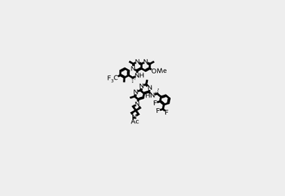 CC(=O)N1CC2(C1)CN(c1cc3c(N[C@H](C)c4cccc(C(F)F)c4F)nc(C)nc3nc1C)C2.COc1cc2c(N[C@H](C)c3cccc(C(F)(F)F)c3C)nc(C)nc2nc1C